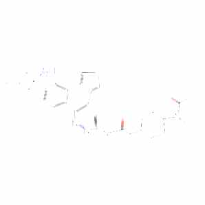 CCC(=O)N(C)C1CCC(CC(=O)Nc2cc(-c3ccsc3)c(-c3ccc([C@]4(N)C[C@H](F)C4)cc3)nn2)CC1